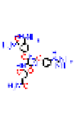 N=C(N)Nc1cccc(Oc2nc(Oc3ccc(C(=N)N)c(C(N)=O)c3)c3c(n2)OC(CCC(N)=O)C(=O)N3)c1